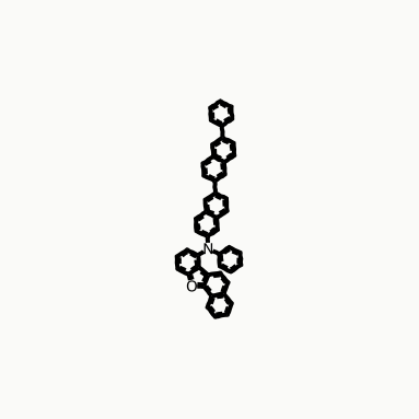 c1ccc(-c2ccc3cc(-c4ccc5cc(N(c6ccccc6)c6cccc7oc8c9ccccc9ccc8c67)ccc5c4)ccc3c2)cc1